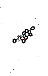 c1ccc(-c2nnc(-n3c4cccc5c4c4c6c(ccc7c6c6c-5cccc6n7-c5ccccc5)ccc43)c(-c3ccccc3)n2)cc1